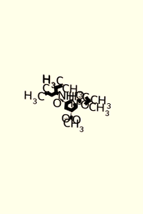 COC(=O)[C@@H]1C[C@H](C(=O)NC(CC(C)C)CC(C)C)CN(C(=O)OC(C)(C)C)C1